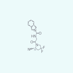 N#C[C@@H]1CC(F)(F)CN1C(=O)CNC(=O)n1cc2ccccc2c1